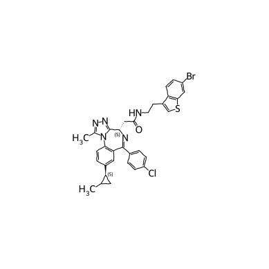 Cc1nnc2n1-c1ccc([C@H]3CC3C)cc1C(c1ccc(Cl)cc1)=N[C@H]2CC(=O)NCCc1csc2cc(Br)ccc12